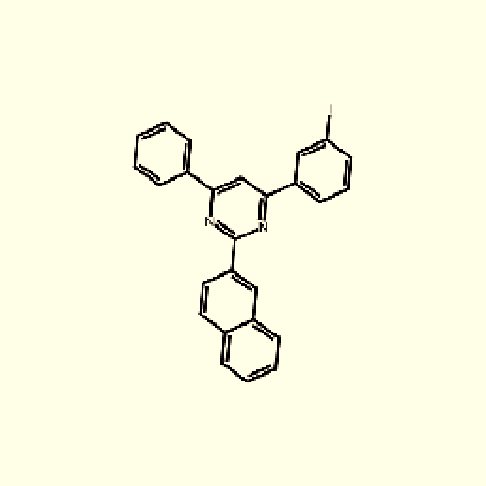 Ic1cccc(-c2cc(-c3ccccc3)nc(-c3ccc4ccccc4c3)n2)c1